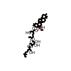 C=CC(C)(C)CC/C=C(\CO)C(=O)OC1C(C)OC(O[C@](C)(C=C)CC/C=C(\CO)C(=O)OC2CC3(C(=O)OCC)C(O)CC4(C)C(=CCC5C6(C)CCC(C)C(C)(C)C6CCC54C)C3CC2(C)C)C(O)C1O